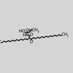 CCCCCCCCCCCCCCCC(=O)C(CCCCCCCCCCCCCC)C(=O)NC(O)(CO)CCC